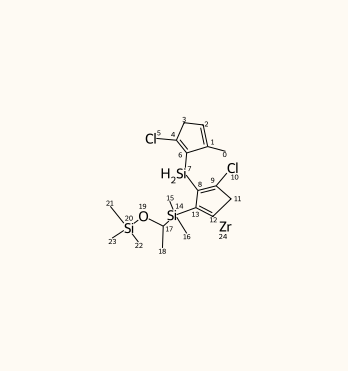 CC1=CCC(Cl)=C1[SiH2]C1=C(Cl)CC=C1[Si](C)(C)C(C)O[Si](C)(C)C.[Zr]